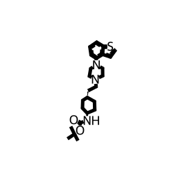 CC(C)(C)OC(=O)N[C@H]1CC[C@H](CCN2CCN(c3cccc4sccc34)CC2)CC1